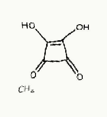 C.O=c1c(O)c(O)c1=O